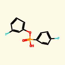 O=P(O)(Oc1cccc(F)c1)c1ccc(F)cc1